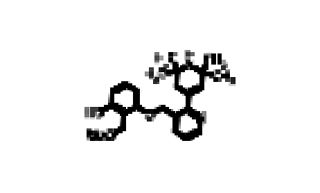 COCc1c(O)cccc1OCc1cccnc1C1=CC(C)(C)NC(C)(C)C1